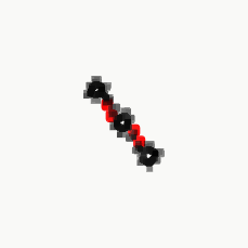 c1ccc(COCOc2ccc(OCOCc3ccccc3)cc2)cc1